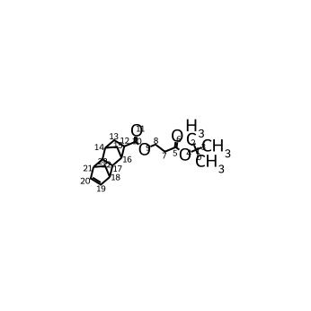 CC(C)(C)OC(=O)CCOC(=O)C1CC2CC1C1C3C=CC(C3)C21